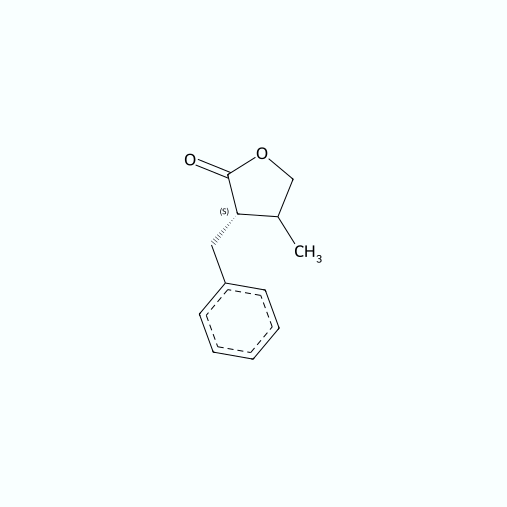 CC1COC(=O)[C@H]1Cc1ccccc1